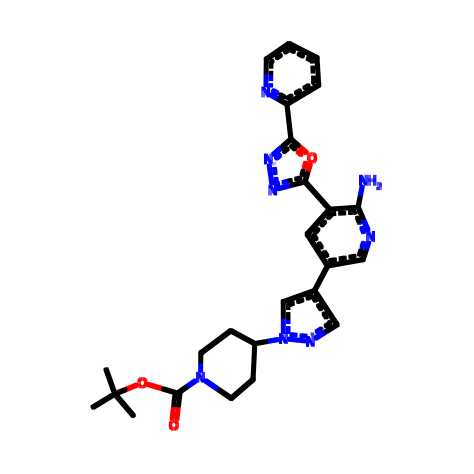 CC(C)(C)OC(=O)N1CCC(n2cc(-c3cnc(N)c(-c4nnc(-c5ccccn5)o4)c3)cn2)CC1